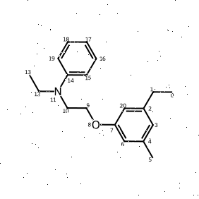 CCc1cc(C)cc(OCCN(CC)c2ccccc2)c1